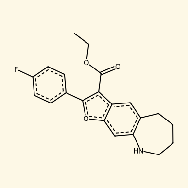 CCOC(=O)c1c(-c2ccc(F)cc2)oc2cc3c(cc12)CCCCN3